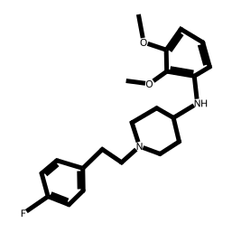 COc1cccc(NC2CCN(CCc3ccc(F)cc3)CC2)c1OC